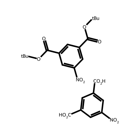 CC(C)(C)OC(=O)c1cc(C(=O)OC(C)(C)C)cc([N+](=O)[O-])c1.O=C(O)c1cc(C(=O)O)cc([N+](=O)[O-])c1